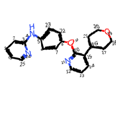 c1ccc(Nc2ccc(Oc3ncccc3C3CCOCC3)cc2)nc1